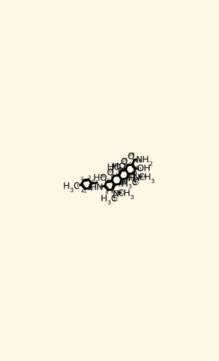 Cc1ccc(CNc2cc(N(C)C)c3c(c2O)C(=O)C2=C(O)[C@]4(O)C(=O)C(C(N)=O)=C(O)[C@@H](N(C)C)[C@@H]4C[C@@H]2C3)cc1